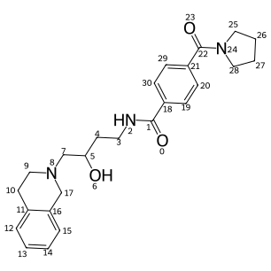 O=C(NCCC(O)CN1CCc2ccccc2C1)c1ccc(C(=O)N2CCCC2)cc1